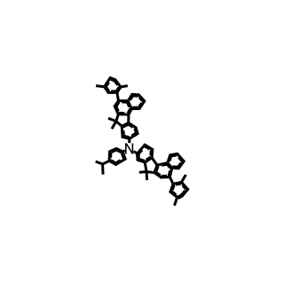 Cc1ccc(C)c(-c2cc3c(c4ccccc24)-c2ccc(N(c4ccc(C(C)C)cc4)c4ccc5c(c4)C(C)(C)c4cc(-c6cc(C)ccc6C)c6ccccc6c4-5)cc2C3(C)C)c1